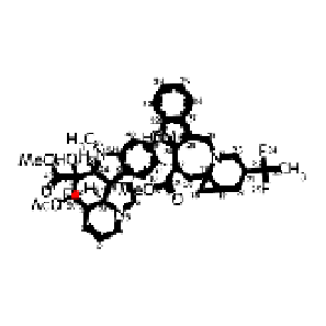 CC[C@]12C=CCN3CC[C@@]4(c5cc([C@@]6(C(=O)OC)CC78CC7CC(C(C)(F)F)CN8Cc7c6[nH]c6ccccc76)c(OC)cc5N(C)[C@H]4C(O)(C(=O)OC)[C@@H]1OC(C)=O)[C@@H]32